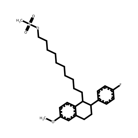 COc1ccc2c(c1)CCC(c1ccc(F)cc1)C2CCCCCCCCCCOS(C)(=O)=O